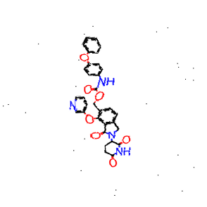 O=C1CCC(N2Cc3ccc(COC(=O)Nc4ccc(Oc5ccccc5)cc4)c(Oc4cccnc4)c3C2=O)C(=O)N1